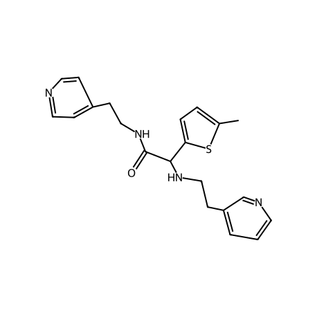 Cc1ccc(C(NCCc2cccnc2)C(=O)NCCc2ccncc2)s1